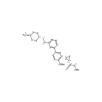 COc1ccc(-c2cnnc(OC[C@H]3CC[C@H](C)CC3)c2)cc1[C@@H]1C[C@@H]1C(=O)OC(C)(C)C